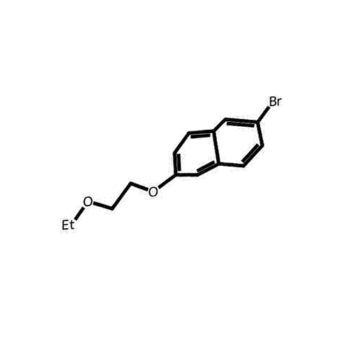 CCOCCOc1ccc2cc(Br)ccc2c1